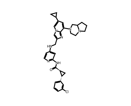 O=C(Nc1cc(NCc2cn3cc(C4CC4)cc(N4CCN5CCCC5C4)c3n2)ccn1)[C@H]1C[C@@H]1c1cccc(Cl)c1